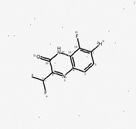 [2H]c1ccc2nc(C(C)F)c(=O)[nH]c2c1F